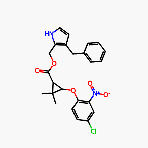 CC1(C)C(Oc2ccc(Cl)cc2[N+](=O)[O-])C1C(=O)OCc1[nH]ccc1Cc1ccccc1